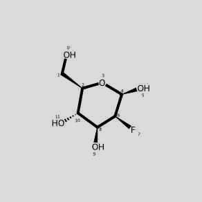 OC[C@H]1O[C@@H](O)[C@@H](F)[C@@H](O)[C@@H]1O